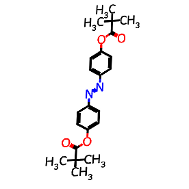 CC(C)(C)C(=O)Oc1ccc(N=Nc2ccc(OC(=O)C(C)(C)C)cc2)cc1